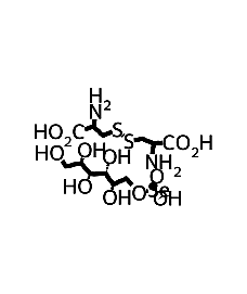 NC(CSSCC(N)C(=O)O)C(=O)O.O=[Se](O)OC[C@@H](O)[C@@H](O)[C@H](O)[C@H](O)CO